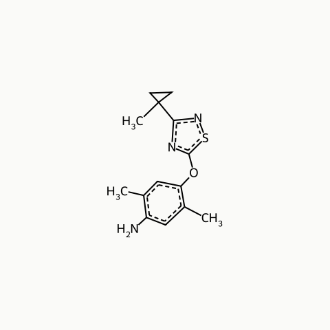 Cc1cc(Oc2nc(C3(C)CC3)ns2)c(C)cc1N